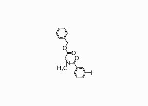 CN(CC(=O)OCc1ccccc1)C(=O)c1cccc(I)c1